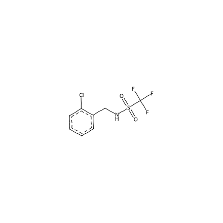 O=S(=O)(NCc1ccccc1Cl)C(F)(F)F